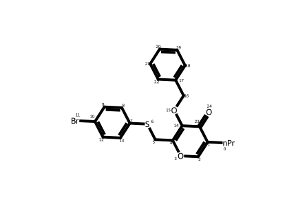 CCCc1coc(CSc2ccc(Br)cc2)c(OCc2ccccc2)c1=O